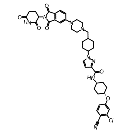 N#Cc1ccc(O[C@H]2CC[C@H](NC(=O)c3ccn(C4CCC(CN5CCN(c6ccc7c(c6)C(=O)N(C6CCC(=O)NC6=O)C7=O)CC5)CC4)n3)CC2)cc1Cl